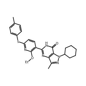 CCOc1nc(Sc2ccc(C)cc2)ccc1-c1nc2c(C)nn(C3CCCCC3)c2c(=O)[nH]1